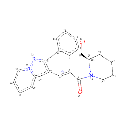 O=C(/C=C/c1c(-c2ccccc2)nn2ccccc12)N1CCCC[C@@H]1CO